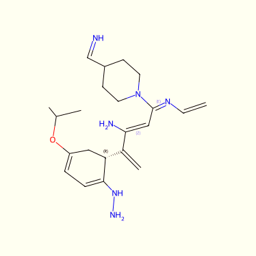 C=C/N=C(\C=C(/N)C(=C)[C@H]1CC(OC(C)C)=CC=C1NN)N1CCC(C=N)CC1